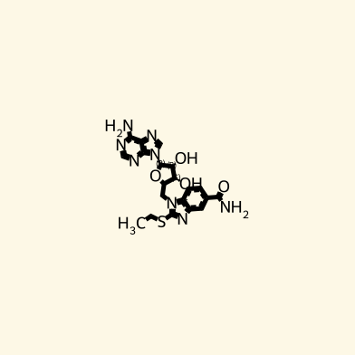 CCSc1nc2cc(C(N)=O)ccc2n1CC1O[C@@H](n2cnc3c(N)ncnc32)[C@H](O)[C@@H]1O